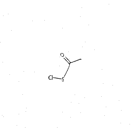 CC(=O)SCl